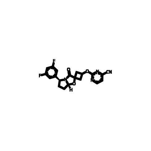 N#Cc1ccnc(OC2CC3(C2)O[C@@H]2CC[C@@H](c4cc(F)cc(F)c4)N2C3=O)n1